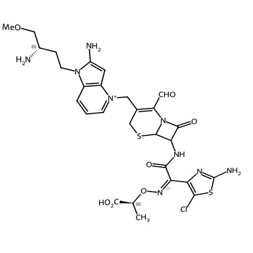 COC[C@@H](N)CCn1c(N)cc2c1ccc[n+]2CC1=C(C=O)N2C(=O)C(NC(=O)/C(=N\O[C@@H](C)C(=O)O)c3nc(N)sc3Cl)C2SC1